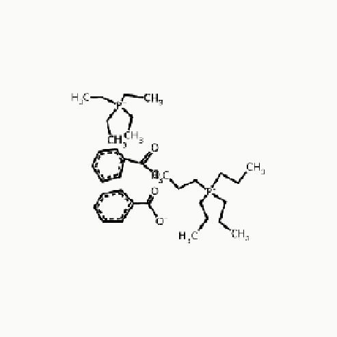 CCC[P+](CCC)(CCC)CCC.CC[P+](CC)(CC)CC.O=C([O-])c1ccccc1.O=C([O-])c1ccccc1